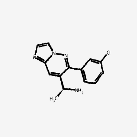 C[C@H](N)c1cc2nccn2nc1-c1cccc(Cl)c1